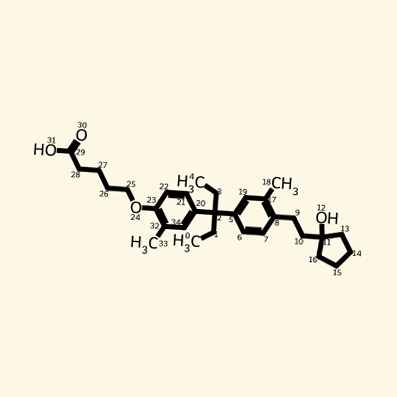 CCC(CC)(c1ccc(CCC2(O)CCCC2)c(C)c1)c1ccc(OCCCCC(=O)O)c(C)c1